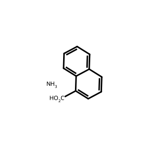 N.O=C(O)c1cccc2ccccc12